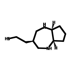 SCC[C@H]1CN[C@H]2CCC[C@H]2NC1